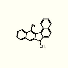 CC(C)c1c2ccccc2cc2c1c1c3ccccc3ccc1n2C